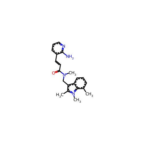 Cc1cccc2c(CN(C)C(=O)C=Cc3cccnc3N)c(C)n(C)c12